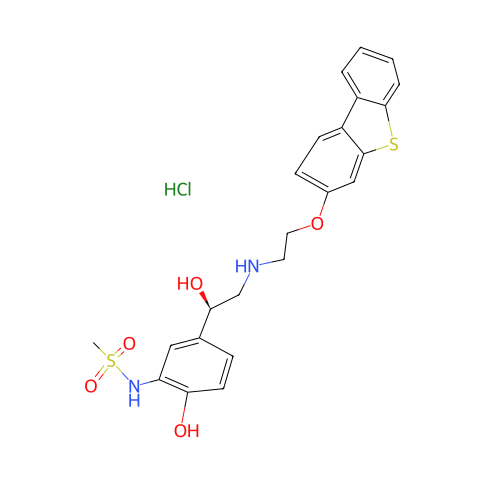 CS(=O)(=O)Nc1cc([C@@H](O)CNCCOc2ccc3c(c2)sc2ccccc23)ccc1O.Cl